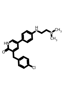 CN(C)CCNc1ccc(-c2c[nH]c(=O)c(Cc3ccc(Cl)cc3)c2)cc1